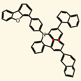 c1cc(-c2ccc3ccccc3c2)cc(-c2ccccc2N(c2ccc(-c3cccc4c3oc3ccccc34)cc2)c2cccc(-c3cccc4ccccc34)c2)c1